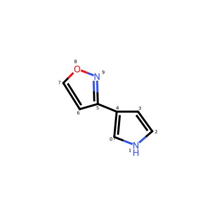 [c]1[nH]ccc1-c1ccon1